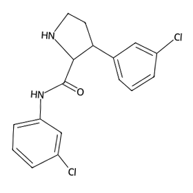 O=C(Nc1cccc(Cl)c1)C1NCCC1c1cccc(Cl)c1